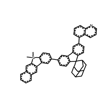 C[Si]1(C)c2ccc(-c3ccc4c(c3)-c3cc(-c5cccc6ncccc56)ccc3C43C4CC5CC(C4)CC3C5)cc2-c2cc3ccccc3cc21